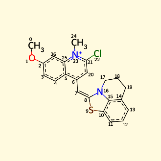 COc1ccc2c(C=C3Sc4cccc5c4N3CCC5)cc(Cl)[n+](C)c2c1